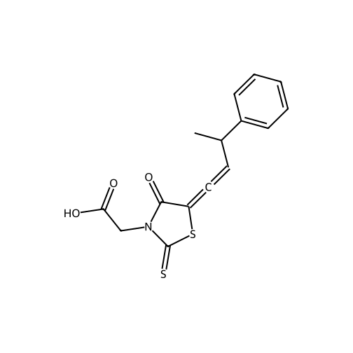 CC(C=C=C1SC(=S)N(CC(=O)O)C1=O)c1ccccc1